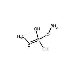 BOP(O)(O)=[SH]C